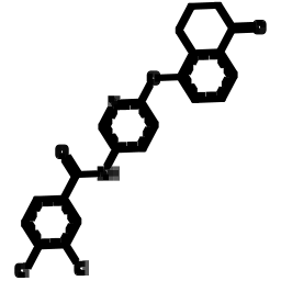 O=C(Nc1ccc(Oc2cccc3c2CCCC3=O)nc1)c1ccc(Cl)c(Cl)c1